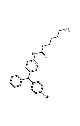 CCCCCOC(=O)Nc1ccc(C(c2ccccc2)c2ccc(O)cc2)cc1